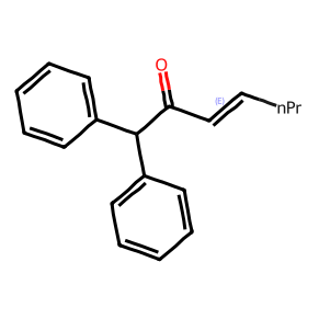 CCC/C=C/C(=O)C(c1ccccc1)c1ccccc1